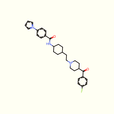 O=C(NC1CCC(CCN2CCC(C(=O)c3ccc(F)cc3)CC2)CC1)c1ccc(-n2cccc2)cc1